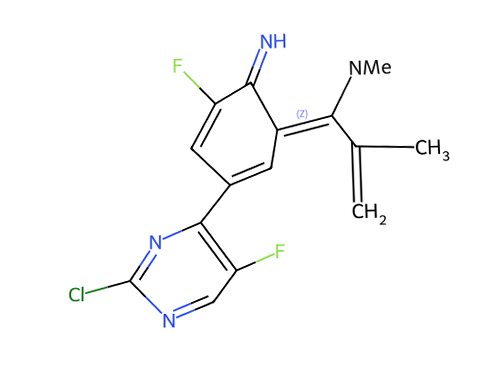 C=C(C)/C(NC)=C1\C=C(c2nc(Cl)ncc2F)C=C(F)C1=N